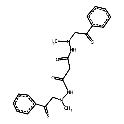 CN(CC(=S)c1ccccc1)NC(=O)CC(=O)NN(C)CC(=S)c1ccccc1